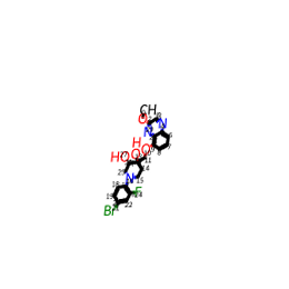 COc1cnc2cccc(OC[C@]3(O)CCN(c4ccc(Br)cc4F)C[C@H]3O)c2n1